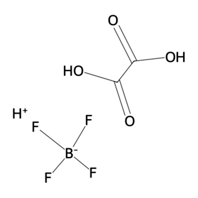 F[B-](F)(F)F.O=C(O)C(=O)O.[H+]